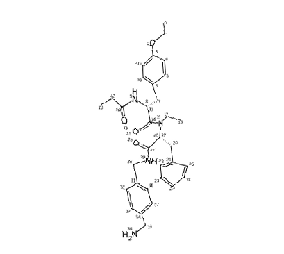 CCOc1ccc(C[C@@H](NC(=O)CC)C(=O)N(CC)[C@H](Cc2ccccc2)C(=O)NCc2ccc(CN)cc2)cc1